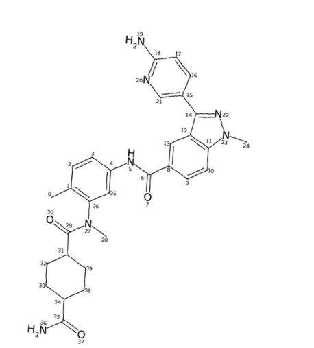 Cc1ccc(NC(=O)c2ccc3c(c2)c(-c2ccc(N)nc2)nn3C)cc1N(C)C(=O)C1CCC(C(N)=O)CC1